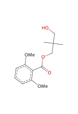 COc1cccc(OC)c1C(=O)OCC(C)(C)CO